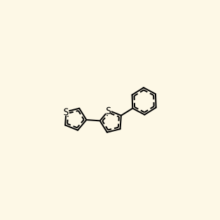 c1ccc(-c2ccc(-c3ccsc3)s2)cc1